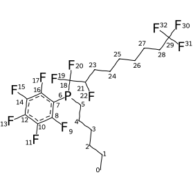 CCCCCCP(c1c(F)c(F)c(F)c(F)c1F)C(F)(F)C(F)CCCCCCC(F)(F)F